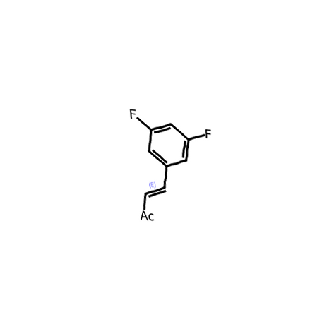 CC(=O)/C=C/c1cc(F)cc(F)c1